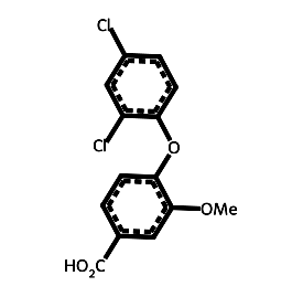 COc1cc(C(=O)O)ccc1Oc1ccc(Cl)cc1Cl